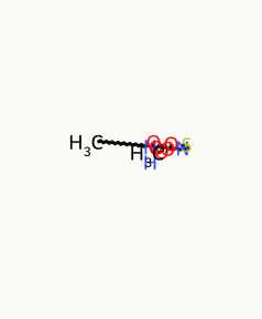 CCCCCCCCCCCCCCCCCCNC(=O)OC[C@H](COC(=O)CCCN1C=CSC1)OC